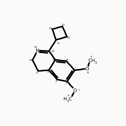 COc1cc2c(cc1OC)C(C1CCC1)=NCC2